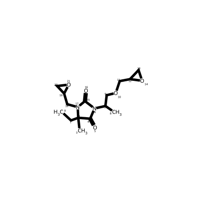 CCC1(C)C(=O)N(C(C)COCC2CO2)C(=O)N1CC1CO1